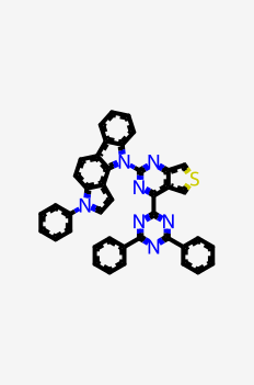 c1ccc(-c2nc(-c3ccccc3)nc(-c3nc(-n4c5ccccc5c5ccc6c(ccn6-c6ccccc6)c54)nc4cscc34)n2)cc1